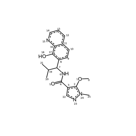 COc1c(C(=O)NC(c2ccc3cccnc3c2O)C(C)C)cnn1C